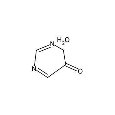 O.O=C1C=NC=NC1